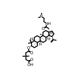 C=C(C)[C@@H]1CC[C@]2(CC(=O)NCCN(C)C)CC[C@]3(C)[C@H](CC[C@@H]4[C@@]5(C)CC[C@H](OC(=O)CC(C)(C)CC(=O)O)C(C)(C)[C@@H]5CC[C@]43C)[C@@H]12